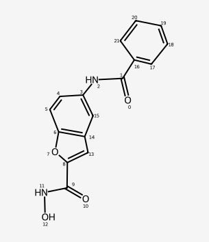 O=C(Nc1ccc2oc(C(=O)NO)cc2c1)c1ccccc1